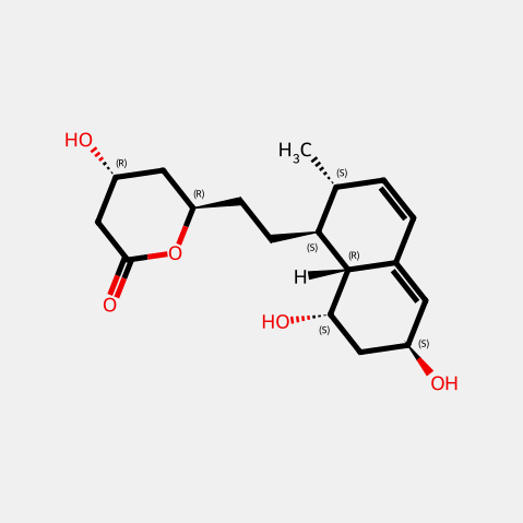 C[C@@H]1C=CC2=C[C@@H](O)C[C@H](O)[C@@H]2[C@H]1CC[C@@H]1C[C@@H](O)CC(=O)O1